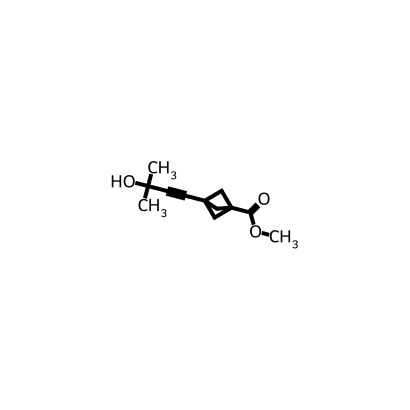 COC(=O)C12CC(C#CC(C)(C)O)(C1)C2